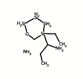 CCC(N)[Si]1(CC)CO[SiH2][SiH2][SiH2]1.N